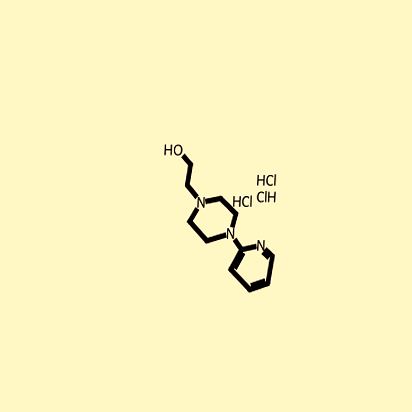 Cl.Cl.Cl.OCCN1CCN(c2ccccn2)CC1